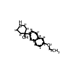 CCOc1ccc2cc(C3(O)CCNCC3)ccc2c1